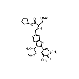 COCC(NCc1ccc2c(c1)nc(-c1cc(C)c(=O)n(C)c1)n2C(C)COC)C(=O)OC1CCCC1